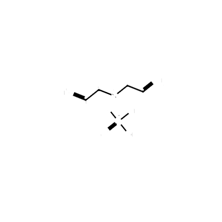 C=CCNCC=C.CP(=O)(O)O